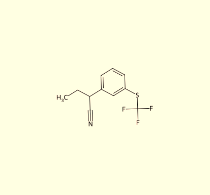 CCC(C#N)c1cccc(SC(F)(F)F)c1